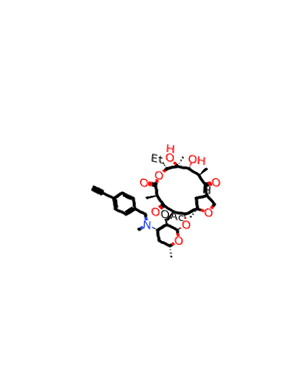 C#Cc1ccc(CN(C)[C@H]2C[C@@H](C)O[C@@H](O[C@@H]3[C@@H](C)C(=O)[C@@H](C)C(=O)O[C@H](CC)[C@@](C)(O)[C@H](O)[C@@H](C)C(=O)[C@@H]4CO[C@]3(C)C4)[C@@H]2OC(C)=O)cc1